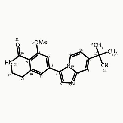 COc1cc(-c2cnc3cc(C(C)(C)C#N)ccn23)cc2c1C(=O)NCC2